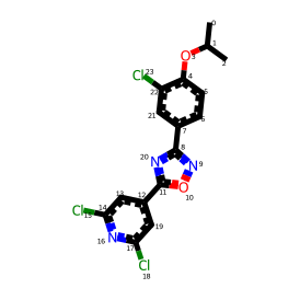 CC(C)Oc1ccc(-c2noc(-c3cc(Cl)nc(Cl)c3)n2)cc1Cl